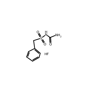 F.NC(=O)NS(=O)(=O)Cc1ccccc1